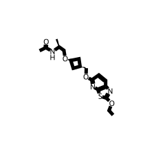 CCOc1nc2ccc(OC[C@H]3C[C@@H](OC[C@H](C)NC(C)=O)C3)nc2s1